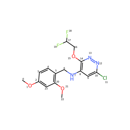 COc1ccc(CNc2cc(Cl)nnc2OCC(F)F)c(OC)c1